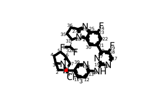 CN1CC2CCC(C1)N2Cc1ccc(Nc2ncc(F)c(-c3cc(F)c4nc5n(c4c3)[C@H](C(F)F)CC5)n2)nc1